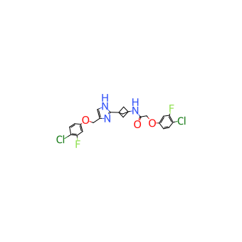 O=C(COc1ccc(Cl)c(F)c1)NC12CC(c3nc(COc4ccc(Cl)c(F)c4)c[nH]3)(C1)C2